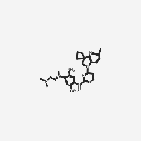 COc1cc(N(C)CCN(C)C)c(N)cc1Nc1nccc(N2CC3(CCC3)c3nc(C)ccc32)n1